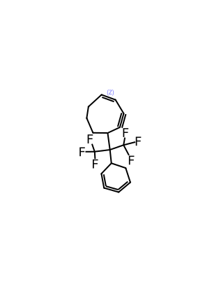 FC(F)(F)C(C1C#C/C=C\CCC1)(C1C=C=C=CC1)C(F)(F)F